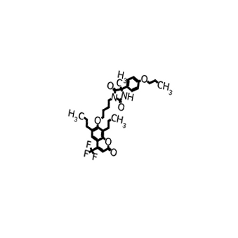 CCCOc1ccc(C2(C)NC(=O)N(CCCCOc3c(CCC)cc4c(C(F)(F)F)cc(=O)oc4c3CCC)C2=O)cc1